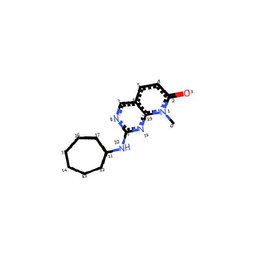 Cn1c(=O)ccc2cnc(NC3CCCCCC3)nc21